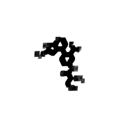 Cc1cc2c(-c3ccc(NC(=O)[C@H](N)CC(C)(C)C)cc3C(F)F)ccnc2[nH]1